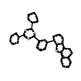 c1ccc(-c2nc(-c3ccccc3)nc(-c3cccc(-c4cccc5c4oc4c6ccccc6ccc54)c3)n2)cc1